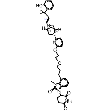 Cn1c(=O)n(C2CCC(=O)NC2=O)c2cccc(CCCOCCOc3cccc(N4C[C@H]5C[C@@H]4CN5/C=C/C(=O)c4ccccc4O)n3)c21